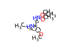 CCCC[C@H]1Cc2cc(OC)ccc2[C@@H](C23CC(NC(=O)OC(C)(C)C)(C2)C3)N1